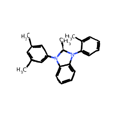 Cc1cc(C)cc(N2c3ccccc3N(c3ccccc3C)[C@@H]2C)c1